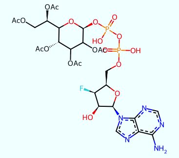 CC(=O)OC[C@@H](OC(C)=O)C1O[C@@H](OP(=O)(O)OP(=O)(O)OC[C@H]2O[C@@H](n3cnc4c(N)ncnc43)[C@@H](O)[C@H]2F)C(OC(C)=O)C(OC(C)=O)[C@@H]1OC(C)=O